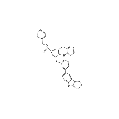 O=C(OCc1ccccc1)c1cc2c3c(c1)Cc1cc(-c4ccc5oc6ccccc6c5c4)ccc1B3c1ccccc1C2